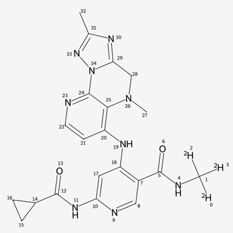 [2H]C([2H])([2H])NC(=O)c1cnc(NC(=O)C2CC2)cc1Nc1ccnc2c1N(C)Cc1nc(C)nn1-2